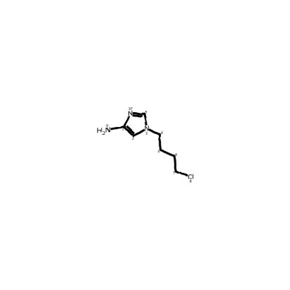 Nc1cn(CCCCCl)cn1